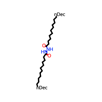 CCCCCCCCCCCCCCCCCCCCCC(=O)NNC(=O)CCCCCCCCCCCCCCCCCCCCC